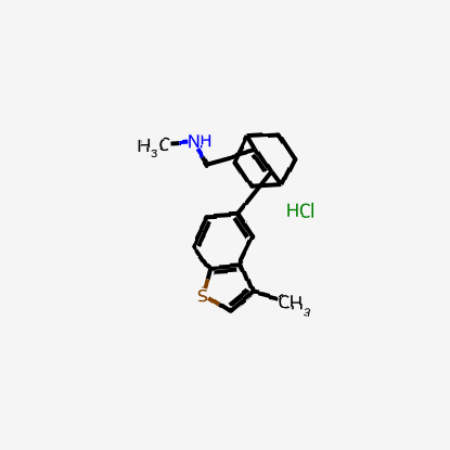 CNCC1=C(c2ccc3scc(C)c3c2)C2CCC1CC2.Cl